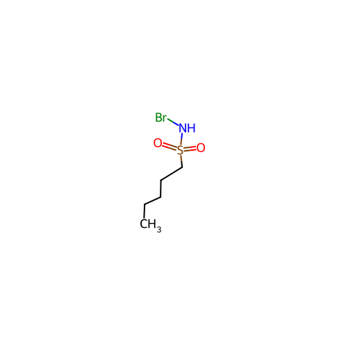 CCCCCS(=O)(=O)NBr